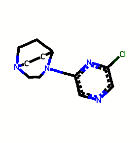 Clc1cncc(N2CCN3CCC2CC3)n1